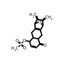 C=C1C(=C)C2OC1C1=C2CC2C(OS(C)(=O)=O)C=CC(=O)C2C1